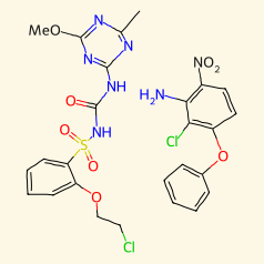 COc1nc(C)nc(NC(=O)NS(=O)(=O)c2ccccc2OCCCl)n1.Nc1c([N+](=O)[O-])ccc(Oc2ccccc2)c1Cl